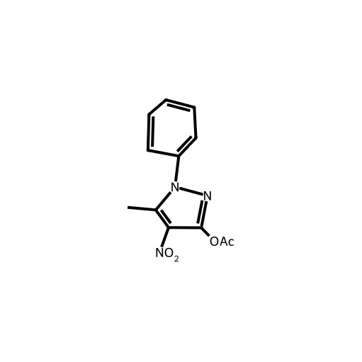 CC(=O)Oc1nn(-c2ccccc2)c(C)c1[N+](=O)[O-]